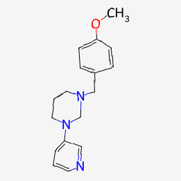 COc1ccc(CN2CCCN(c3cccnc3)C2)cc1